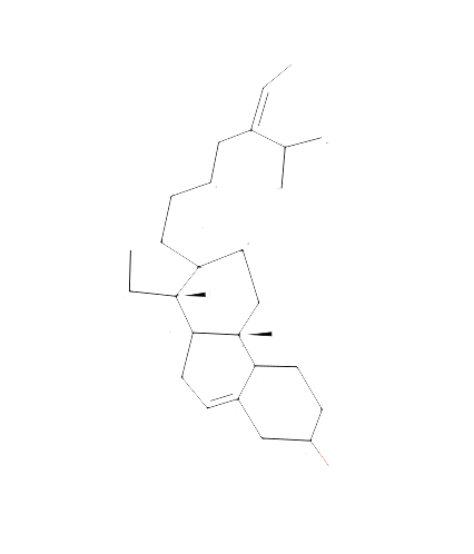 C/C=C(/CC[C@@H](C)[C@H]1CC[C@H]2[C@@H]3CC=C4CC(O)CC[C@]4(C)[C@H]3CC[C@]12C)C(C)C